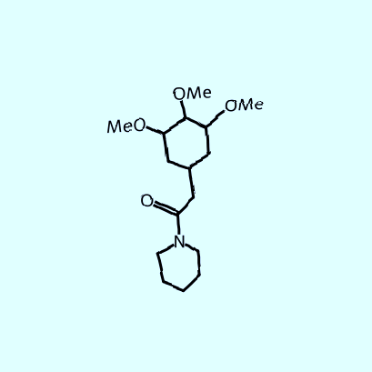 COC1CC(CC(=O)N2CCCCC2)CC(OC)C1OC